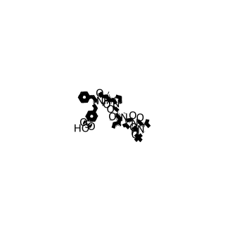 CC[C@H](C)[C@@H]([C@@H](CC(=O)N1CCC[C@H]1[C@H](OC)[C@@H](C)C(=O)N[C@H](CCc1ccc(S(=O)(=O)O)cc1)Cc1ccccc1)OC)N(C)[C@H](C(=O)NC(=O)[C@H](C(C)C)N(C)C(=O)OC(C)(C)C)C(C)C